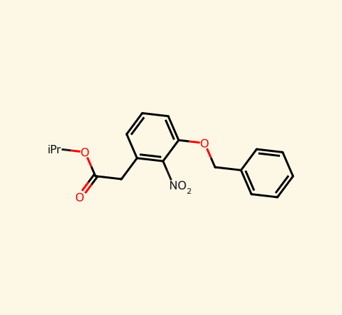 CC(C)OC(=O)Cc1cccc(OCc2ccccc2)c1[N+](=O)[O-]